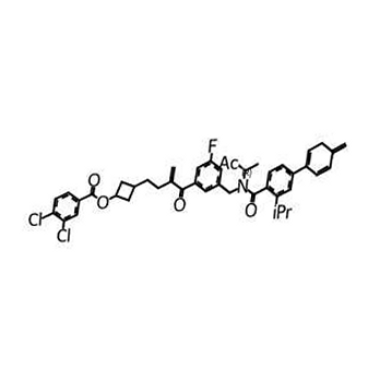 C=C1C=CC(c2ccc(C(=O)N(Cc3cc(F)cc(C(=O)C(=C)CCC4CC(OC(=O)c5ccc(Cl)c(Cl)c5)C4)c3)[C@H](C)C(C)=O)c(C(C)C)c2)=CC1